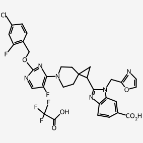 O=C(O)C(F)(F)F.O=C(O)c1ccc2nc(C3CC34CCN(c3nc(OCc5ccc(Cl)cc5F)ncc3F)CC4)n(Cc3ncco3)c2c1